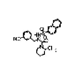 CC1CCCCN1C(=O)N(Cc1cccc(C#N)c1)NS(=O)(=O)c1ccc2ccccc2c1